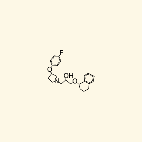 OC(CO[C@H]1CCCc2ccccc21)CN1CC[C@@H](Oc2ccc(F)cc2)C1